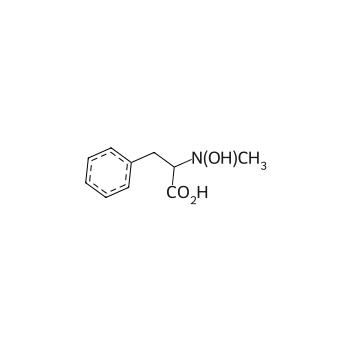 CN(O)C(Cc1ccccc1)C(=O)O